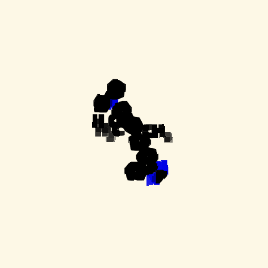 C=C/C=C(\C=C/Cc1ccc2c(c1)C(C)(C)c1cc(-n3c4ccccc4c4ccccc43)ccc1-2)c1ccc2c(c1)c1ccccc1c1nccnc21